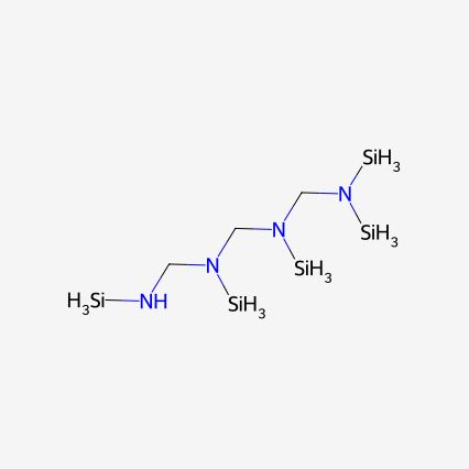 [SiH3]NCN([SiH3])CN([SiH3])CN([SiH3])[SiH3]